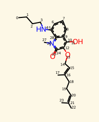 CCCCNc1cccc2c(O)c(OC/C=C(\C)CCC=C(C)C)c(=O)n(C)c12